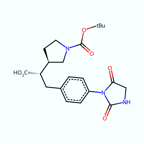 CC(C)(C)OC(=O)N1CC[C@H]([C@H](Cc2ccc(N3C(=O)CNC3=O)cc2)C(=O)O)C1